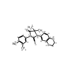 CC1(C)C(=O)N(c2ccc(C#N)c(C(F)(F)F)c2)C(=S)N1c1ccc2c(c1)SCCO2